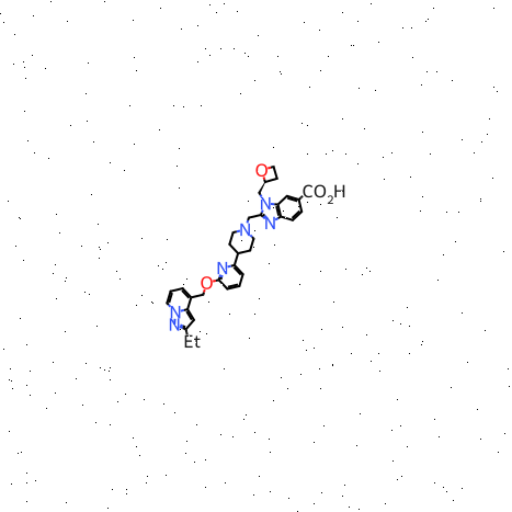 CCc1cc2c(COc3cccc(C4CCN(Cc5nc6ccc(C(=O)O)cc6n5C[C@@H]5CCO5)CC4)n3)cccn2n1